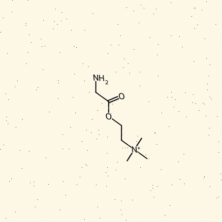 C[N+](C)(C)CCOC(=O)CN